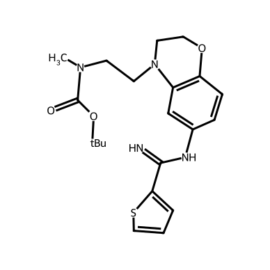 CN(CCN1CCOc2ccc(NC(=N)c3cccs3)cc21)C(=O)OC(C)(C)C